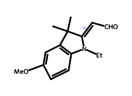 CCN1/C(=C\C=O)C(C)(C)c2cc(OC)ccc21